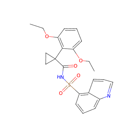 CCOc1cccc(OCC)c1C1(C(=O)NS(=O)(=O)c2cccc3ncccc23)CC1